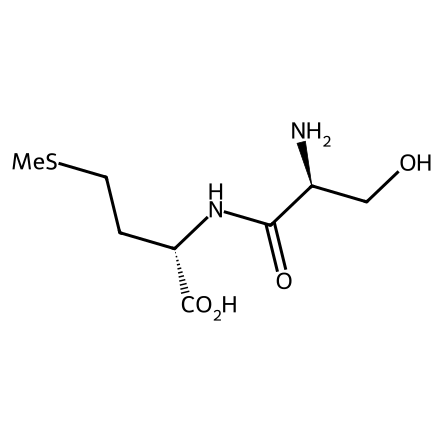 CSCC[C@H](NC(=O)[C@@H](N)CO)C(=O)O